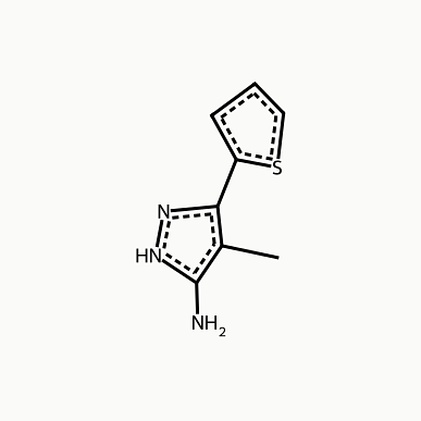 Cc1c(-c2cccs2)n[nH]c1N